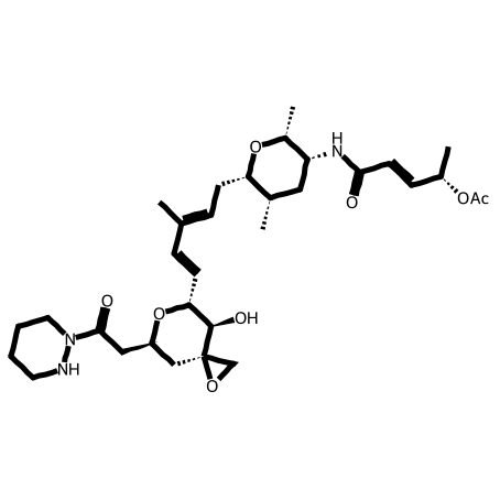 CC(=O)O[C@@H](C)C=CC(=O)N[C@@H]1C[C@H](C)[C@H](CC=C(C)C=C[C@H]2O[C@H](CC(=O)N3CCCCN3)C[C@@]3(CO3)[C@@H]2O)O[C@@H]1C